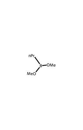 [CH2]CCB(OC)OC